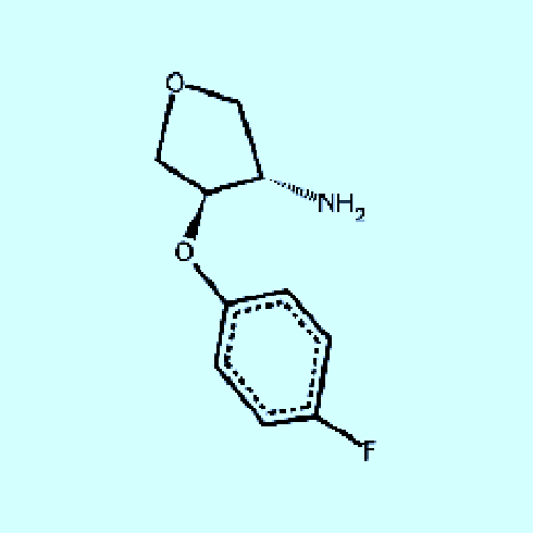 N[C@H]1COC[C@@H]1Oc1ccc(F)cc1